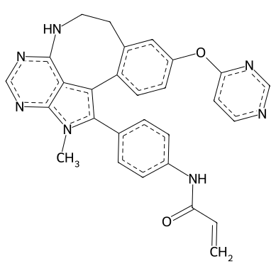 C=CC(=O)Nc1ccc(-c2c3c4c(ncnc4n2C)NCCc2cc(Oc4ccncn4)ccc2-3)cc1